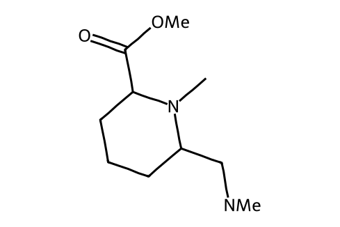 CNCC1CCCC(C(=O)OC)N1C